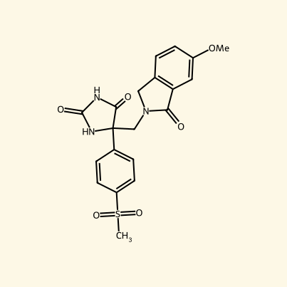 COc1ccc2c(c1)C(=O)N(CC1(c3ccc(S(C)(=O)=O)cc3)NC(=O)NC1=O)C2